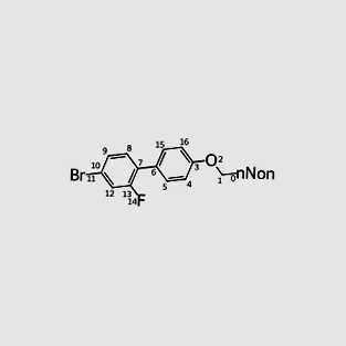 CCCCCCCCCCOc1ccc(-c2ccc(Br)cc2F)cc1